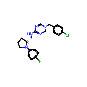 Fc1ccc(N2CCC[C@@H]2CNC2=NCN(Cc3ccc(Cl)cc3)C=N2)cc1